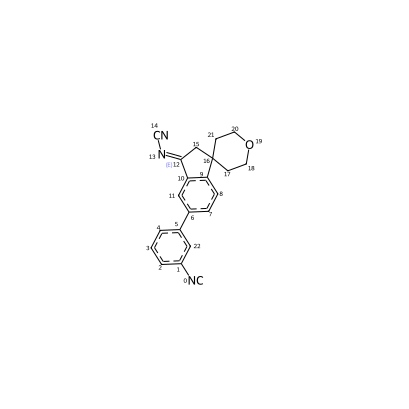 [C-]#[N+]c1cccc(-c2ccc3c(c2)/C(=N/C#N)CC32CCOCC2)c1